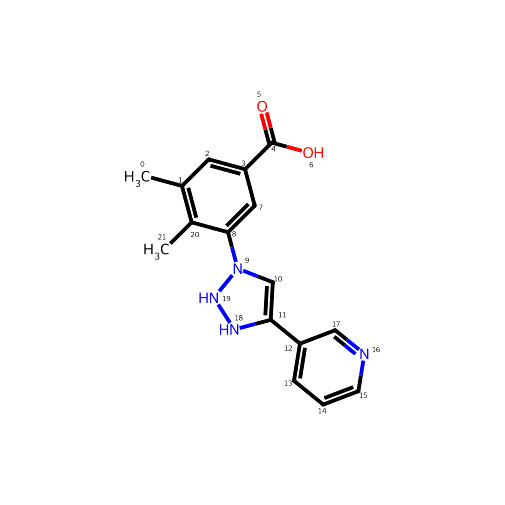 Cc1cc(C(=O)O)cc(N2C=C(c3cccnc3)NN2)c1C